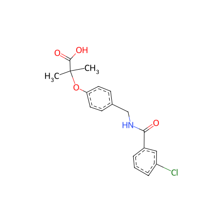 CC(C)(Oc1ccc(CNC(=O)c2cccc(Cl)c2)cc1)C(=O)O